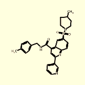 Cc1ccc(CNC(=O)c2cc(-c3cccnc3)nc3ccc(S(=O)(=O)N4CCC(C)CC4)cc23)cc1